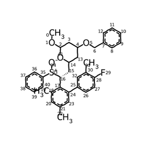 COC1CC(OCc2ccccc2)CC(C[C@H](c2c(C)cc(C)cc2-c2ccc(F)c(C)c2)[S+]([O-])c2ccccc2)O1